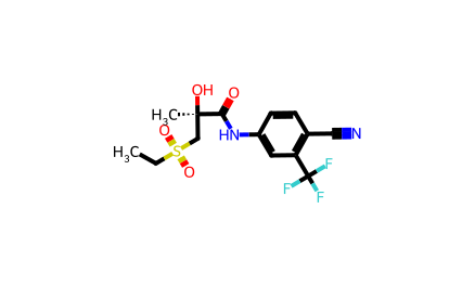 CCS(=O)(=O)C[C@@](C)(O)C(=O)Nc1ccc(C#N)c(C(F)(F)F)c1